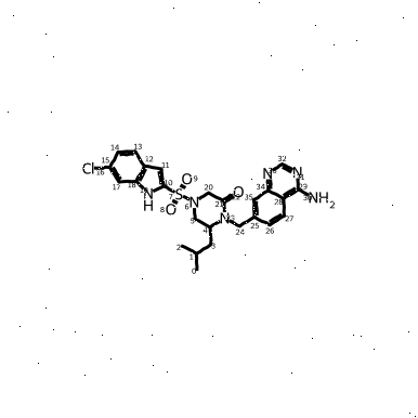 CC(C)CC1CN(S(=O)(=O)c2cc3ccc(Cl)cc3[nH]2)CC(=O)N1Cc1ccc2c(N)ncnc2c1